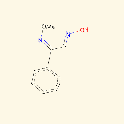 CON=C(C=NO)c1ccccc1